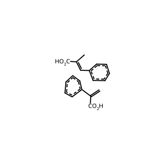 C=C(C(=O)O)c1ccccc1.CC(=Cc1ccccc1)C(=O)O